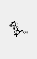 CC1(C)OC(CO)C(OP2(=O)NCCO2)O1